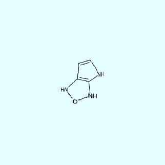 c1cc2c([nH]1)NON2